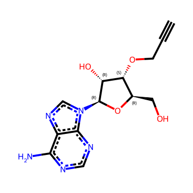 C#CCO[C@H]1[C@@H](O)[C@H](n2cnc3c(N)ncnc32)O[C@@H]1CO